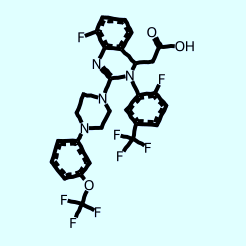 O=C(O)CC1c2cccc(F)c2N=C(N2CCN(c3cccc(OC(F)(F)F)c3)CC2)N1c1cc(C(F)(F)F)ccc1F